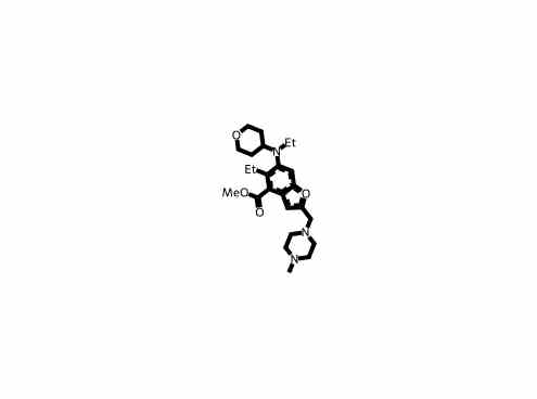 CCc1c(N(CC)C2CCOCC2)cc2oc(CN3CCN(C)CC3)cc2c1C(=O)OC